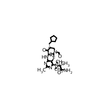 Cc1nc(NNC(=O)[C@H](CC2CCCC2)CN(O)C=O)c(F)c([N+](C)(C)[C@H](C)C(N)=O)n1